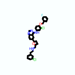 Fc1cccc(COc2ccc(Nc3ncnc4ccc(-c5ccc(CNCCc6cccc(Cl)c6)o5)cc34)cc2Cl)c1